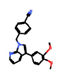 COc1ccc(-c2cn(Cc3ccc(C#N)cc3)c3ncccc23)cc1OC